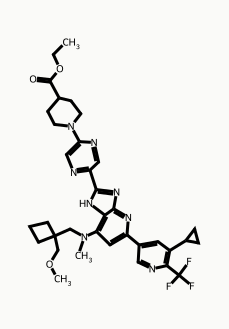 CCOC(=O)C1CCN(c2cnc(-c3nc4nc(-c5cnc(C(F)(F)F)c(C6CC6)c5)cc(N(C)CC5(COC)CCC5)c4[nH]3)cn2)CC1